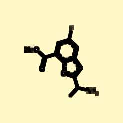 COC(=O)c1cc(F)cc2cc(C(C)N)oc12